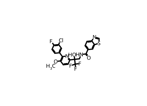 COc1ccc(C(O)(CNC(=O)c2ccc3ncsc3c2)C(F)(F)F)nc1-c1ccc(F)c(Cl)c1